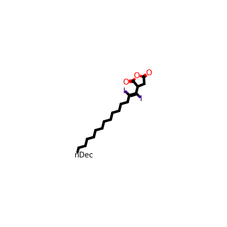 CCCCCCCCCCCCCCCCCCCCCCC(I)=C(I)C1CC(=O)OC1=O